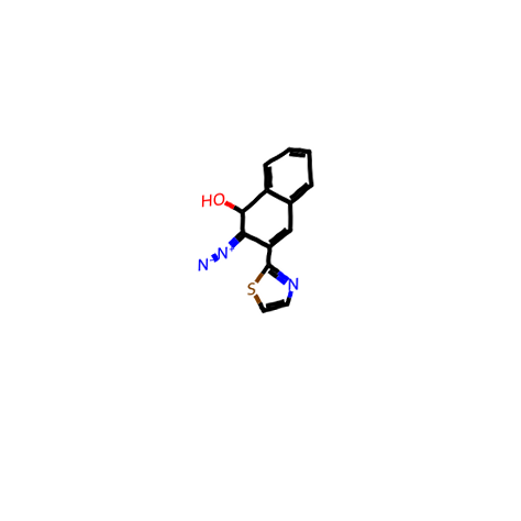 [N-]=[N+]=C1C(c2nccs2)=Cc2ccccc2C1O